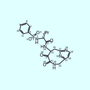 CC(C)C(NS(=O)(=O)c1ccccc1)C(=O)NC1Cc2nccc(n2)CNC(=O)C1=O